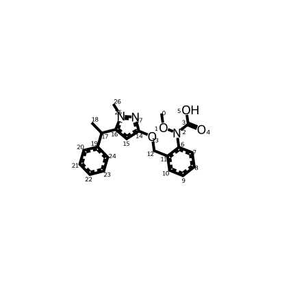 CON(C(=O)O)c1ccccc1COc1cc(C(C)c2ccccc2)n(C)n1